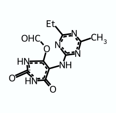 CCc1nc(C)nc(Nc2c(OC=O)[nH]c(=O)[nH]c2=O)n1